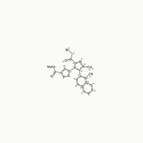 COC(=O)c1ccc(-c2c(C(=O)CBr)nn(C)c2-c2ccc3ccccc3c2C#N)s1